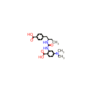 CCC(Cc1ccc(C(=O)O)cc1)NC(=O)Nc1cc(N(C)C)ccc1C(=O)O